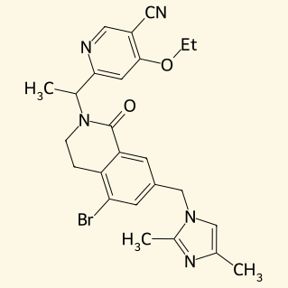 CCOc1cc(C(C)N2CCc3c(Br)cc(Cn4cc(C)nc4C)cc3C2=O)ncc1C#N